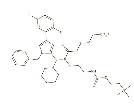 CS(C)(C)CCOC(=O)NCCCN(C(=O)CSCCC(=O)O)[C@@H](c1cc(-c2cc(F)ccc2F)cn1Cc1ccccc1)C1CCCCC1